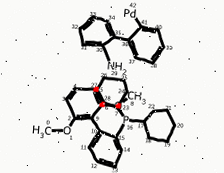 COc1cccc(OC)c1-c1ccccc1P(C1CCCCC1)C1CCCCC1.Nc1ccccc1-c1cccc[c]1[Pd]